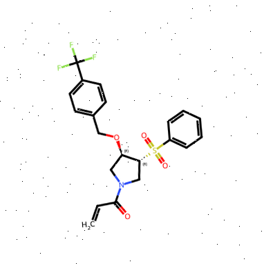 C=CC(=O)N1C[C@@H](S(=O)(=O)c2ccccc2)[C@H](OCc2ccc(C(F)(F)F)cc2)C1